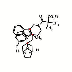 CCOC(=O)C(C)(C)C(=O)N1CCC(CCN2[C@@H]3CC[C@H]2CC(n2c(C)nc4ccccc42)C3)(c2cccc(F)c2)CC1